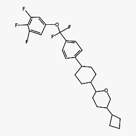 Fc1cc(OC(F)(F)c2ccc(C3CCC(C4CCC(C5CCC5)CO4)CC3)cc2)cc(F)c1F